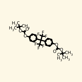 CC(C)(C)OC(=O)Oc1ccc(C(c2ccc(OC(=O)OC(C)(C)C)cc2)(C(F)(F)F)C(F)(F)F)cc1